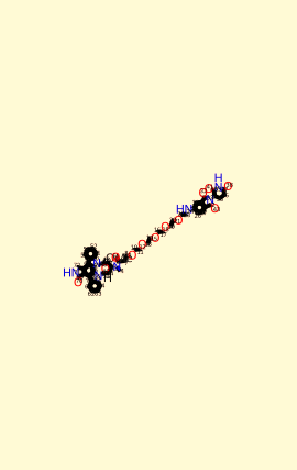 CO[C@@H]1[C@H](N(C)C(=O)CCOCCOCCOCCOCCOCCNc2ccc3c(c2)C(=O)N(C2CCC(=O)NC2=O)C3=O)C[C@H]2O[C@]1(C)n1c3ccccc3c3c4c(c5c6ccccc6n2c5c31)C(=O)NC4